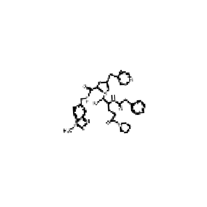 Cn1nnc2cc(CNC(=O)C3CC(Cc4ccncc4)CN3C(O)C(CCC(=O)N3CCCC3)NC(=O)Cc3ccccc3)ccc21